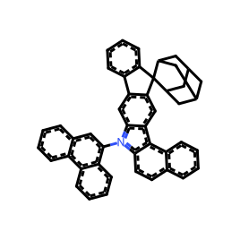 c1ccc2c(c1)-c1cc3c(cc1C21C2CC4CC(C2)CC1C4)c1c2ccccc2ccc1n3-c1cc2ccccc2c2ccccc12